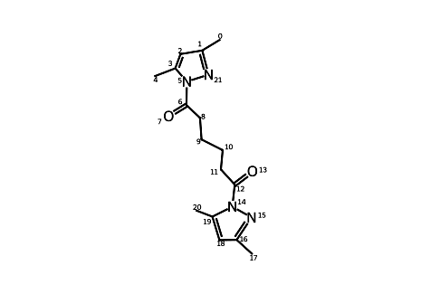 Cc1cc(C)n(C(=O)CCCCC(=O)n2nc(C)cc2C)n1